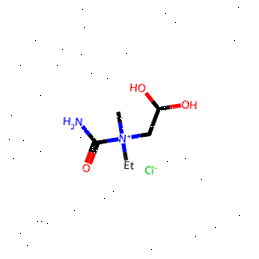 CC[N+](C)(CC(O)O)C(N)=O.[Cl-]